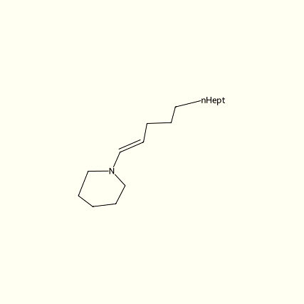 CCCCCCCCCCC=CN1CCCCC1